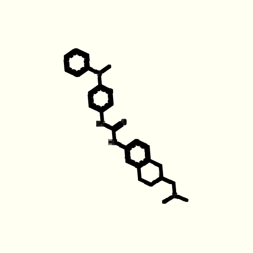 CN(C)CC1CCc2cc(NC(=O)Nc3ccc(N(C)c4ccccc4)cc3)ccc2C1